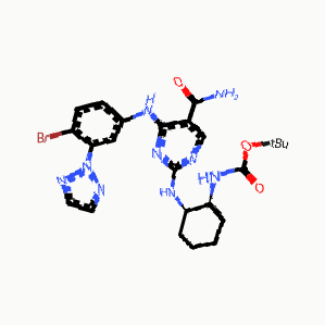 CC(C)(C)OC(=O)N[C@H]1CCCC[C@H]1Nc1ncc(C(N)=O)c(Nc2ccc(Br)c(-n3nccn3)c2)n1